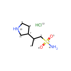 CC(CS(N)(=O)=O)C1CCNC1.Cl